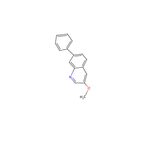 COc1cnc2cc(-c3ccccc3)ccc2c1